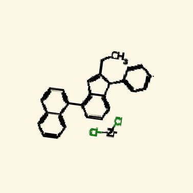 CCC1=Cc2c(-c3cccc4ccccc34)cccc2C1c1cc[c]cc1.[Cl][Zr][Cl]